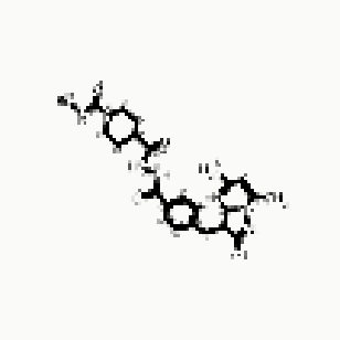 CCC1=NN2C(C)=CC(C)=NC2C1Cc1ccc(C(=O)NNC(=O)C2CCN(C(=O)OC(C)(C)C)CC2)cc1